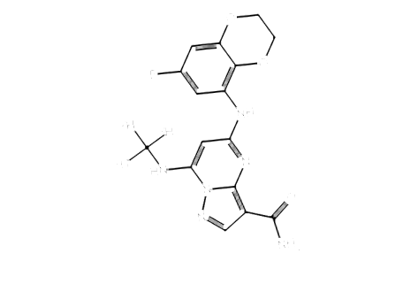 [2H]C([2H])([2H])Nc1cc(Nc2cc(F)cc3c2OCCO3)nc2c(C(N)=O)cnn12